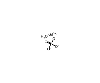 O.O=P([O-])([O-])[O-].[Gd+3]